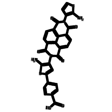 Nc1sccc1N1C(=O)c2ccc3c4c(ccc(c24)C1=O)C(=O)N(c1cc(-c2ccc(C(=O)O)cc2)sc1N)C3=O